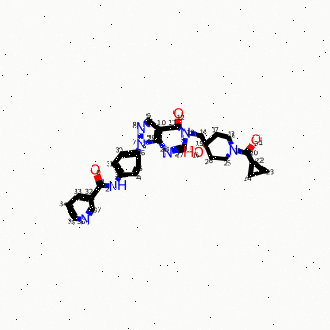 O=C(Nc1ccc(-n2ncc3c(=O)n(CC4(O)CCN(C(=O)C5CC5)CC4)cnc32)cc1)c1cccnc1